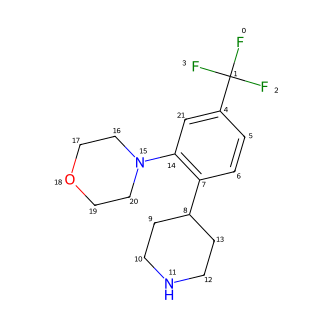 FC(F)(F)c1ccc(C2CCNCC2)c(N2CCOCC2)c1